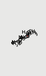 COc1cc2c(Oc3ccc4c(c3)CCN4C(=O)OC(C)(C)C)ncnc2cc1OCCCN1CCCC1